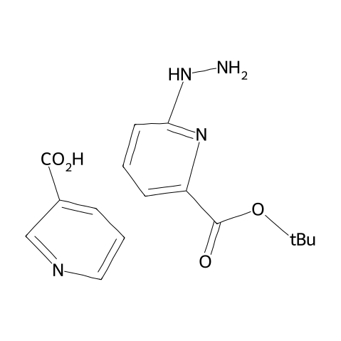 CC(C)(C)OC(=O)c1cccc(NN)n1.O=C(O)c1cccnc1